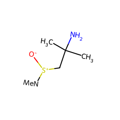 CN[S+]([O-])CC(C)(C)N